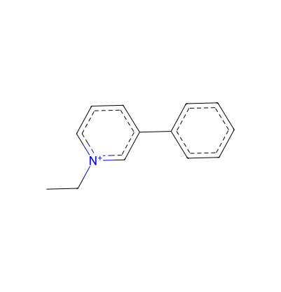 CC[n+]1cccc(-c2ccccc2)c1